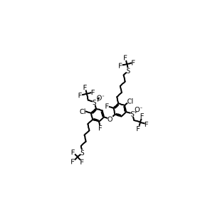 [O-][S+](CC(F)(F)F)c1cc(Oc2cc([S+]([O-])CC(F)(F)F)c(Cl)c(CCCCCSC(F)(F)F)c2F)c(F)c(CCCCCSC(F)(F)F)c1Cl